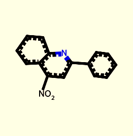 O=[N+]([O-])c1cc(-c2ccccc2)nc2ccccc12